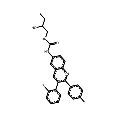 CCC(O)CNC(=O)Nc1ccc2nc(-c3ccc(F)cc3)c(-c3ccccc3F)cc2c1